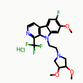 COc1cc2c(cc1F)c1ccnc(C(F)(F)F)c1n2CCN1CC(OC)C(OC)C1.Cl